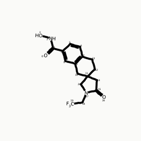 O=C(NO)c1ccc2c(c1)CC1(CC2)CC(=O)N(CC(F)(F)F)C1